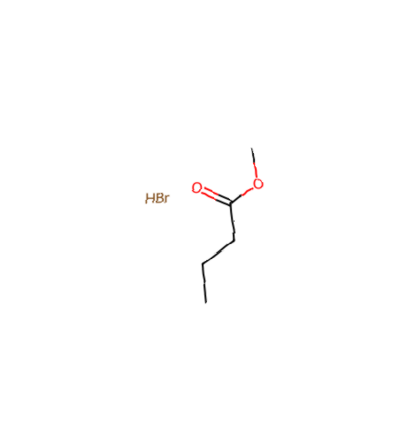 Br.CCCC(=O)OC